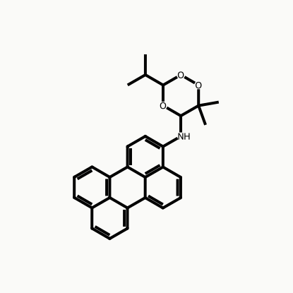 CC(C)C1OOC(C)(C)C(Nc2ccc3c4cccc5cccc(c6cccc2c63)c54)O1